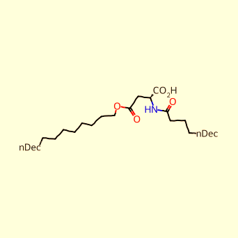 CCCCCCCCCCCCCCCCCCOC(=O)C[C@H](NC(=O)CCCCCCCCCCCCC)C(=O)O